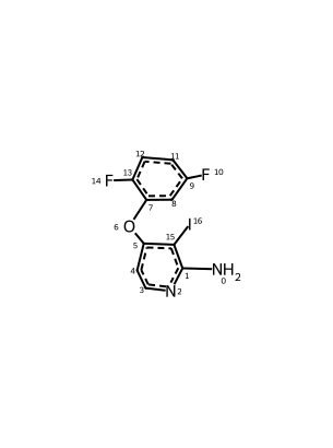 Nc1nccc(Oc2cc(F)ccc2F)c1I